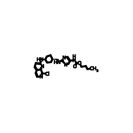 CCCCOC(=O)Nc1cnc(NC[C@H]2CC[C@H](Nc3ccc4ccnc(Cl)c4n3)CC2)nc1